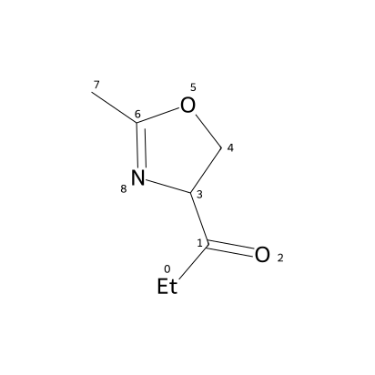 CCC(=O)C1COC(C)=N1